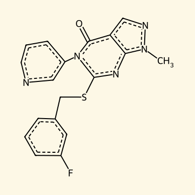 Cn1ncc2c(=O)n(-c3cccnc3)c(SCc3cccc(F)c3)nc21